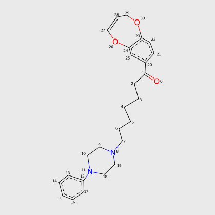 O=C(CCCCCCN1CCN(c2ccccc2)CC1)c1ccc2c(c1)OC=CCO2